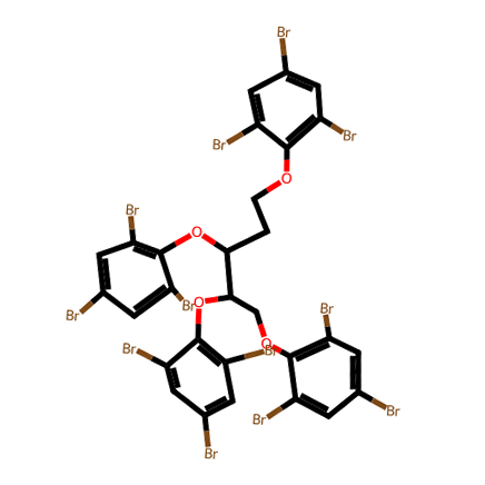 Brc1cc(Br)c(OCCC(Oc2c(Br)cc(Br)cc2Br)C(COc2c(Br)cc(Br)cc2Br)Oc2c(Br)cc(Br)cc2Br)c(Br)c1